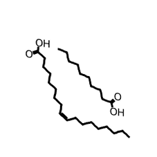 CCCCCCCC/C=C\CCCCCCCC(=O)O.CCCCCCCCCC(=O)O